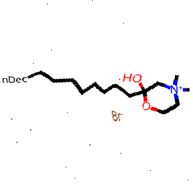 CCCCCCCCCCCCCCCCCCC1(O)C[N+](C)(C)CCO1.[Br-]